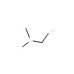 CCCCN([O])CC